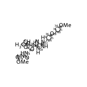 COC(=O)CNC(=O)NC[C@H]1O[C@@H](n2cnc3c2NCNC3NCc2ccc(OCc3ccc(OC)cc3)cc2)C2OC(C)(C)OC21